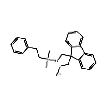 CCCOCC1(CO[Si](C)(C)CCc2ccccc2)c2ccccc2-c2ccccc21